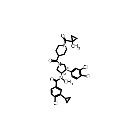 CN(C(=O)c1ccc(Cl)c(C2CC2)c1)[C@@H]1CN(C(=O)C2CCN(C(=O)C3(C)CC3)CC2)C[C@H]1c1ccc(Cl)c(Cl)c1